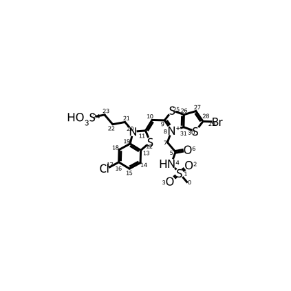 CS(=O)(=O)NC(=O)C[n+]1c(C=C2Sc3ccc(Cl)cc3N2CCCS(=O)(=O)O)sc2cc(Br)sc21